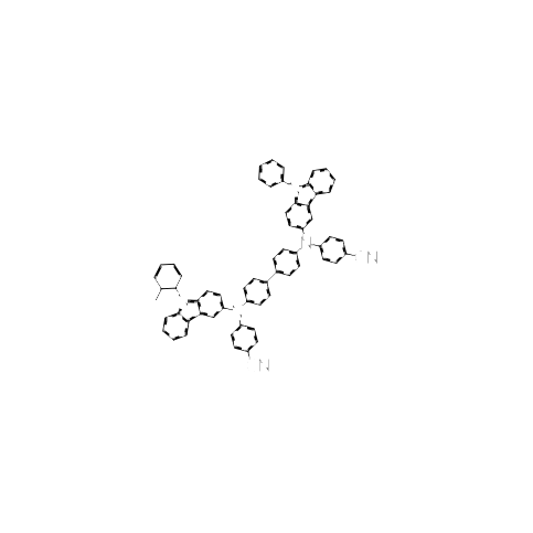 CC1C=CC=CC1n1c2ccccc2c2cc(N(c3ccc(C#N)cc3)c3ccc(-c4ccc(N(c5ccc(C#N)cc5)c5ccc6c(c5)c5ccccc5n6-c5ccccc5)cc4)cc3)ccc21